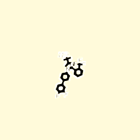 CC(C)(O)c1cn(-c2ccc(-c3ccc(F)c(F)c3)cc2)c(-c2ccccc2C(F)(F)F)n1